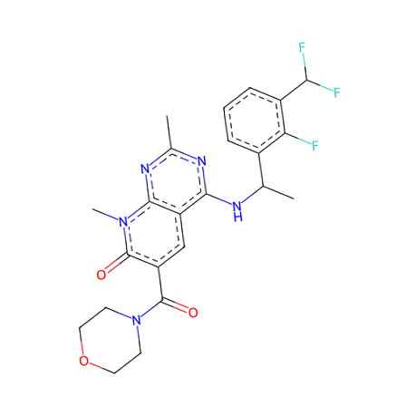 Cc1nc(NC(C)c2cccc(C(F)F)c2F)c2cc(C(=O)N3CCOCC3)c(=O)n(C)c2n1